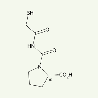 O=C(CS)NC(=O)N1CCC[C@H]1C(=O)O